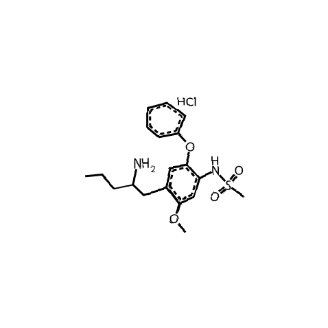 CCCC(N)Cc1cc(Oc2ccccc2)c(NS(C)(=O)=O)cc1OC.Cl